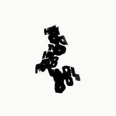 CC(=O)c1cn(CC(=O)N2C[C@H](F)C[C@H]2C(=O)Nc2cccc(-c3ccc4[nH]cnc4c3Cl)c2F)c2ccccc12